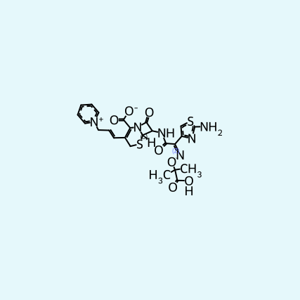 CC(C)(O/N=C(\C(=O)NC1C(=O)N2C(C(=O)[O-])=C(C=CC[n+]3ccccc3)CS[C@@H]12)c1csc(N)n1)C(=O)O